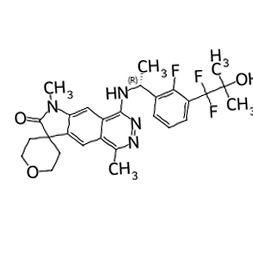 Cc1nnc(N[C@H](C)c2cccc(C(F)(F)C(C)(C)O)c2F)c2cc3c(cc12)C1(CCOCC1)C(=O)N3C